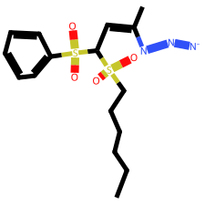 CCCCCCS(=O)(=O)C(C=C(C)N=[N+]=[N-])S(=O)(=O)c1ccccc1